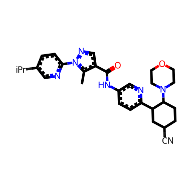 Cc1c(C(=O)Nc2ccc(C3CC(C#N)CCC3N3CCOCC3)nc2)cnn1-c1ccc(C(C)C)cn1